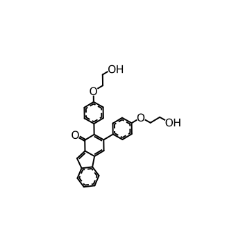 O=C1C2=Cc3ccccc3C2=CC(c2ccc(OCCO)cc2)=C1c1ccc(OCCO)cc1